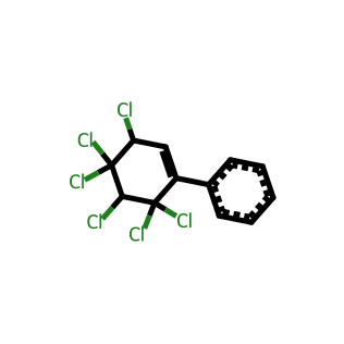 ClC1C=C(c2ccccc2)C(Cl)(Cl)C(Cl)C1(Cl)Cl